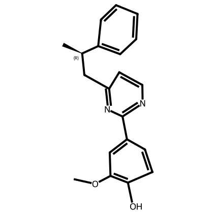 COc1cc(-c2nccc(C[C@@H](C)c3ccccc3)n2)ccc1O